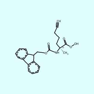 C#CCCC[C@](C)(NC(=O)OCC1c2ccccc2-c2ccccc21)C(=O)OO